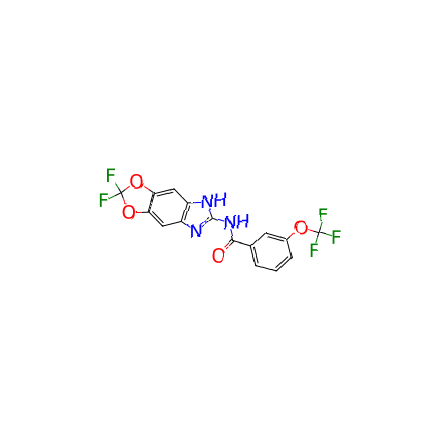 O=C(Nc1nc2cc3c(cc2[nH]1)OC(F)(F)O3)c1cccc(OC(F)(F)F)c1